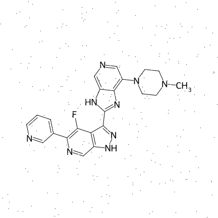 CN1CCN(c2cncc3[nH]c(-c4n[nH]c5cnc(-c6cccnc6)c(F)c45)nc23)CC1